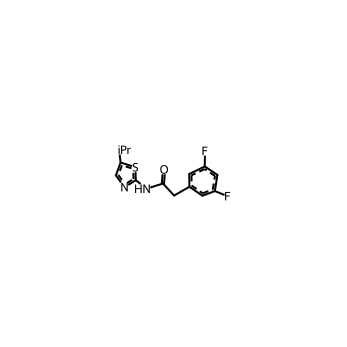 CC(C)c1cnc(NC(=O)Cc2cc(F)cc(F)c2)s1